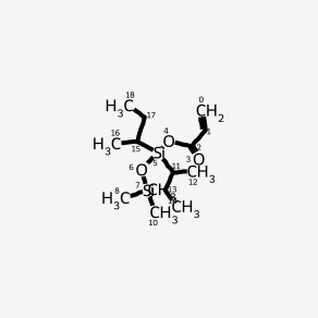 C=CC(=O)O[Si](O[Si](C)(C)C)(C(C)CC)C(C)CC